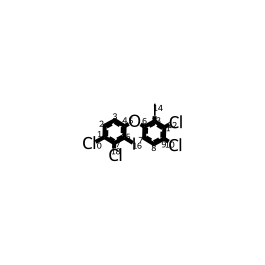 Clc1ccc(Oc2ccc(Cl)c(Cl)c2I)c(I)c1Cl